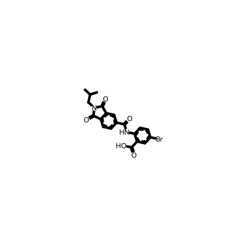 CC(C)CN1C(=O)c2ccc(C(=O)Nc3ccc(Br)cc3C(=O)O)cc2C1=O